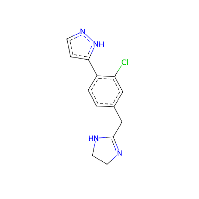 Clc1cc(CC2=NCCN2)ccc1-c1ccn[nH]1